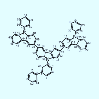 c1ccc(-c2cccc(-n3c4ccc(-c5ccc6c(c5)c5ccccc5n6-c5ccccc5)cc4c4cc(-c5ccc6c(c5)c5ccccc5n6-c5ccccc5)ccc43)c2)cc1